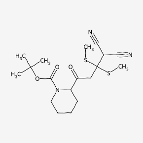 CSC(CC(=O)C1CCCCN1C(=O)OC(C)(C)C)(SC)C(C#N)C#N